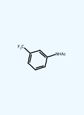 [CH2]C(=O)Nc1cccc(C(F)(F)F)c1